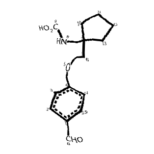 O=Cc1ccc(OCC2(NC(=O)O)CCCC2)cc1